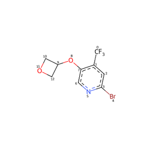 FC(F)(F)c1cc(Br)ncc1OC1COC1